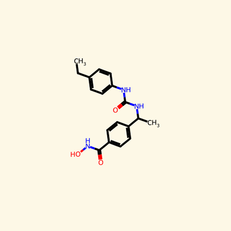 CCc1ccc(NC(=O)NC(C)c2ccc(C(=O)NO)cc2)cc1